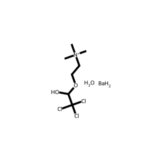 C[N+](C)(C)CCOC(O)C(Cl)(Cl)Cl.O.[BaH2]